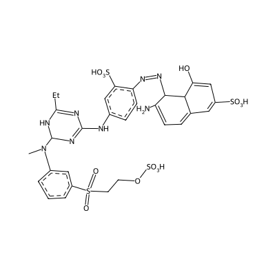 CCC1=NC(Nc2ccc(/N=N\C3C(N)=CC=C4C=C(S(=O)(=O)O)C=C(O)C43)c(S(=O)(=O)O)c2)=NC(N(C)c2cccc(S(=O)(=O)CCOS(=O)(=O)O)c2)N1